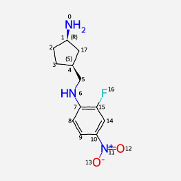 N[C@@H]1CC[C@H](CNc2ccc([N+](=O)[O-])cc2F)C1